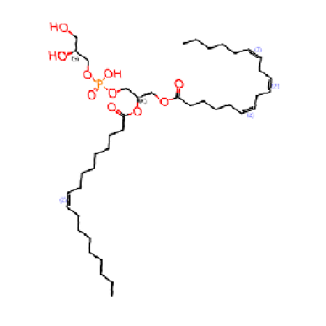 CCCCC/C=C\C/C=C\C/C=C\CCCCC(=O)OC[C@H](COP(=O)(O)OC[C@@H](O)CO)OC(=O)CCCCCCC/C=C\CCCCCCCC